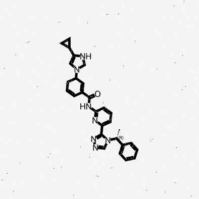 C[C@H](c1ccccc1)n1cnnc1-c1cccc(NC(=O)C2=CC(N3C=C(C4CC4)NC3)CC=C2)n1